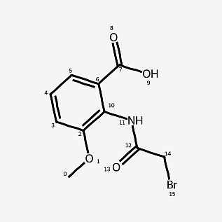 COc1cccc(C(=O)O)c1NC(=O)CBr